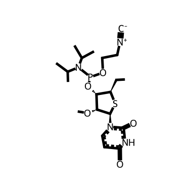 [C-]#[N+]CCOP(O[C@H]1[C@@H](OC)[C@H](n2ccc(=O)[nH]c2=O)S[C@@H]1CC)N(C(C)C)C(C)C